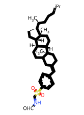 CC(C)CCC[C@@H](C)[C@H]1CC[C@H]2[C@@H]3CCC4C/C(=C\c5ccc(S(=O)(=O)CNC=O)cc5)CC[C@]4(C)[C@H]3CC[C@]12C